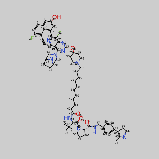 C#Cc1c(F)ccc2cc(O)cc(-c3ncc4c(N5CC6CCC(C5)N6)nc(OC5CCN(CCCCCCCCCCC(=O)NC(C(=O)N6CCC[C@H]6C(=O)NCc6ccc(C7=C(C)N=CC7)cc6)C(C)(C)C)CC5)nc4c3F)c12